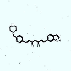 O=C(/C=C/c1ccc(CN2CCOCC2)cc1)CC(=O)/C=C/c1ccc2cc[nH]c2c1